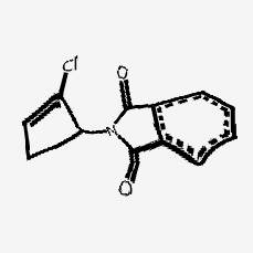 O=C1c2ccccc2C(=O)N1C1CCC=C1Cl